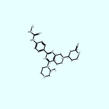 CCNC(=O)Nc1ccc(-c2nc3c(c(N4CCOC[C@@H]4C)n2)CCN(C2CCOC(=O)C2)C3)cc1